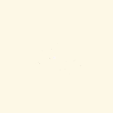 Cc1ccc(C)c(/C=C(\C#N)S(=O)(=O)Cc2ccccc2)c1